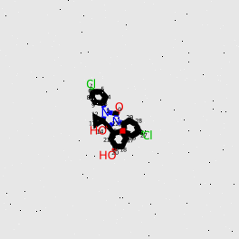 O=C1N(c2ccc(Cl)cc2)C2(CC2)C(O)(c2cccc(O)c2)N1c1ccc(Cl)cc1